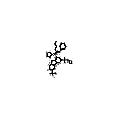 CCCC/[C](Cc1ccccc1)=[Zr+2](\[C]1=CC=CC1)[c]1cc(C(C)(C)C)cc2c1Cc1ccc(C(C)(C)C)cc1-2.[Cl-].[Cl-]